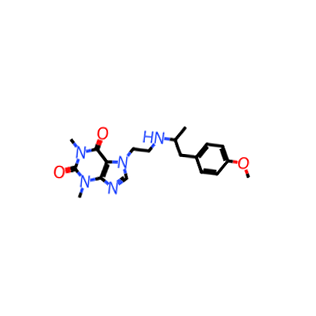 COc1ccc(CC(C)NCCn2cnc3c2c(=O)n(C)c(=O)n3C)cc1